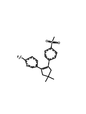 CC1(C)CC(c2ccc(S(C)(=O)=O)cc2)=C(c2ccc(C(F)(F)F)nc2)C1